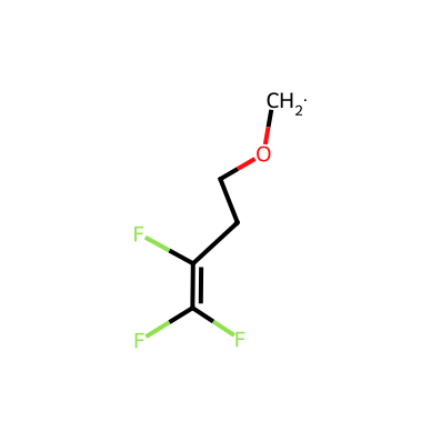 [CH2]OCCC(F)=C(F)F